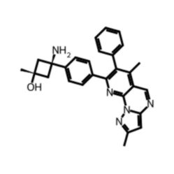 Cc1cc2ncc3c(C)c(-c4ccccc4)c(-c4ccc([C@]5(N)C[C@](C)(O)C5)cc4)nc3n2n1